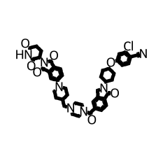 N#Cc1ccc(O[C@H]2CC[C@H](N3Cc4cc(C(=O)N5CCN(CC6CCN(c7ccc8c(c7)C(=O)N(C7CCC(=O)NC7=O)C8=O)CC6)CC5)ccc4C3=O)CC2)cc1Cl